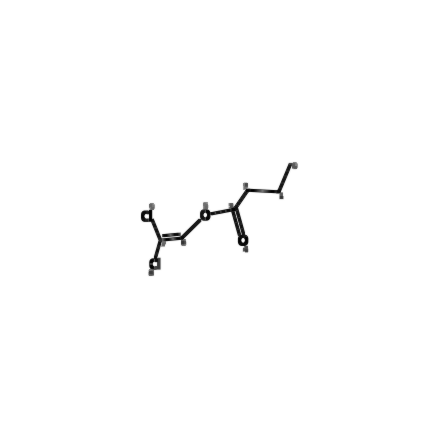 CCCC(=O)OC=C(Cl)Cl